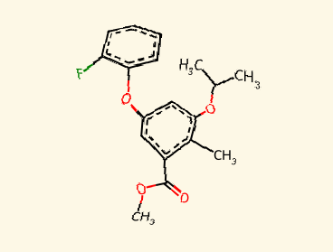 COC(=O)c1cc(Oc2ccccc2F)cc(OC(C)C)c1C